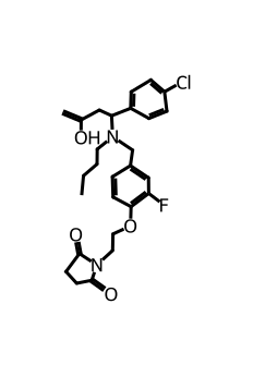 C=C(O)CC(c1ccc(Cl)cc1)N(CCCC)Cc1ccc(OCCN2C(=O)CCC2=O)c(F)c1